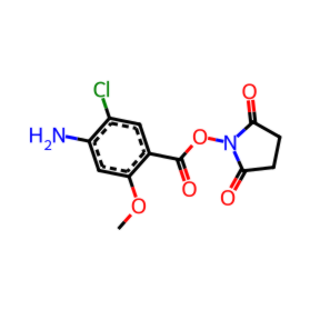 COc1cc(N)c(Cl)cc1C(=O)ON1C(=O)CCC1=O